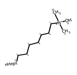 CCCCCCCCCCCCCC[N+](C)(C)O